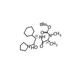 C[C@@H](C(=O)N[C@@H](C1CCCCC1)C(O)N1CCCC1)N(C)C(=O)OC(C)(C)C